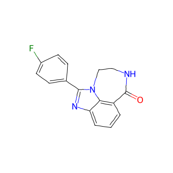 O=C1NCCn2c(-c3ccc(F)cc3)nc3cccc1c32